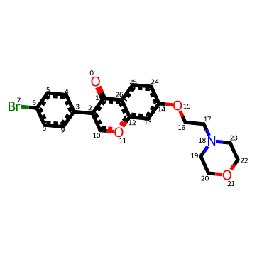 O=c1c(-c2ccc(Br)cc2)coc2cc(OCCN3CCOCC3)ccc12